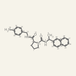 CC(NC(=O)N1CCCC1C(=O)NCc1ccc(N)cc1)c1ccc2ccccc2c1